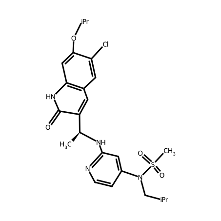 CC(C)CN(c1ccnc(N[C@@H](C)c2cc3cc(Cl)c(OC(C)C)cc3[nH]c2=O)c1)S(C)(=O)=O